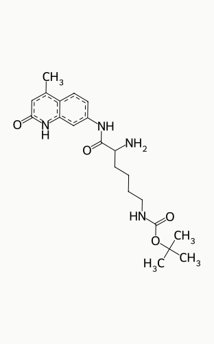 Cc1cc(=O)[nH]c2cc(NC(=O)C(N)CCCCNC(=O)OC(C)(C)C)ccc12